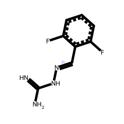 N=C(N)N/N=C/c1c(F)cccc1F